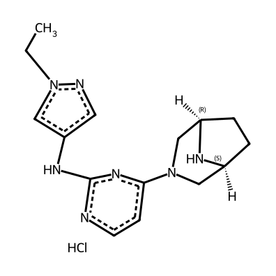 CCn1cc(Nc2nccc(N3C[C@H]4CC[C@@H](C3)N4)n2)cn1.Cl